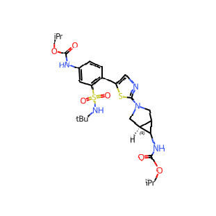 CC(C)OC(=O)Nc1ccc(-c2cnc(N3CC4C(NC(=O)OC(C)C)[C@H]4C3)s2)c(S(=O)(=O)NC(C)(C)C)c1